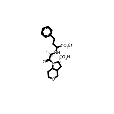 CCOC(=O)C(CCc1ccccc1)N[C@@H](C)C(=O)N1C2CCOCC2C[C@H]1C(=O)O